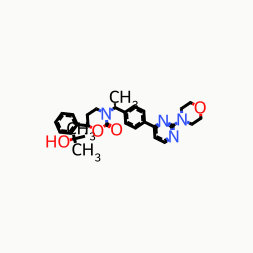 C[C@@H](c1ccc(-c2ccnc(N3CCOCC3)n2)cc1)N1CC[C@](CC(C)(C)O)(c2ccccc2)OC1=O